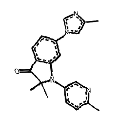 Cc1ccc(N2c3cc(-n4cnc(C)c4)ccc3C(=O)C2(C)C)cn1